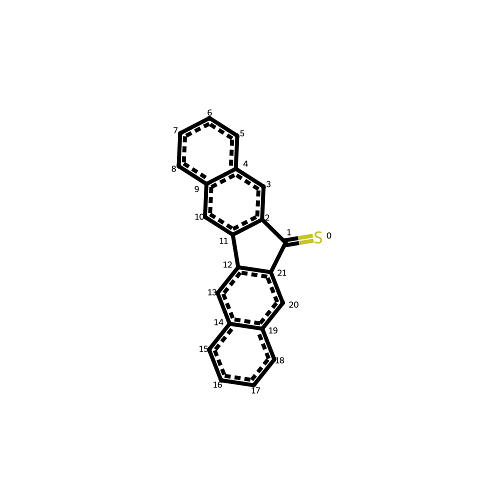 S=C1c2cc3ccccc3cc2-c2cc3ccccc3cc21